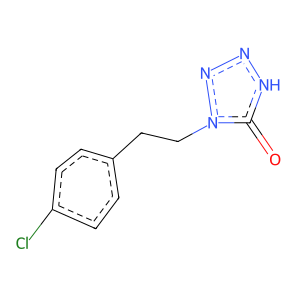 O=c1[nH]nnn1CCc1ccc(Cl)cc1